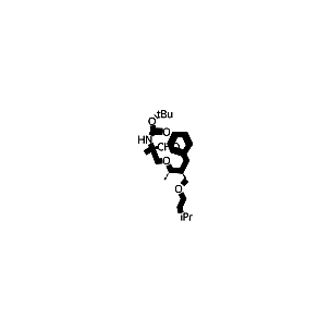 CC(C)CCOC[C@@H](Cc1ccccc1)[C@H](C)OC[C@@](C)(C=O)NC(=O)OC(C)(C)C